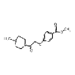 COC(=O)c1ccc(OCC(=O)N2CCN(C)CC2)cc1